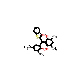 Cc1cc(C(c2cc3ccccc3s2)c2cc(C)cc(C(C)(C)C)c2O)c(O)c(C(C)(C)C)c1